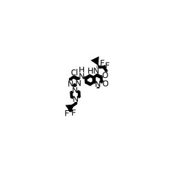 Cn1c(=O)c2c(c3cc(Nc4nc(N5CCN(CC6CC6(F)F)CC5)ncc4Cl)ccc31)N[C@@H](C1CC1)C(F)(F)CO2